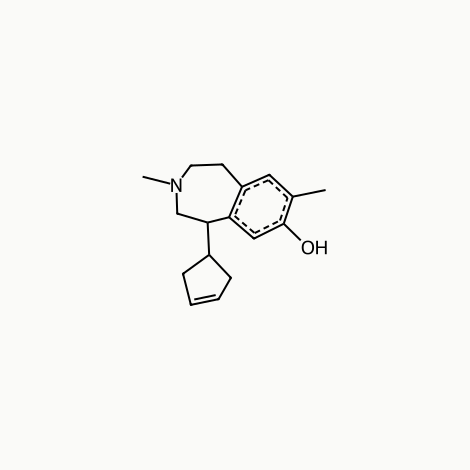 Cc1cc2c(cc1O)C(C1CC=CC1)CN(C)CC2